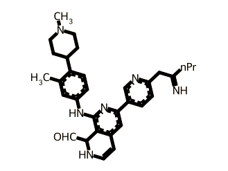 CCCC(=N)Cc1ccc(-c2cc3c(c(Nc4ccc(C5CCN(C)CC5)c(C)c4)n2)C(C=O)NC=C3)cn1